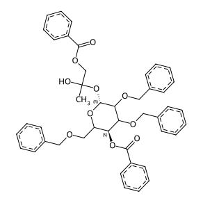 CC(O)(COC(=O)c1ccccc1)O[C@H]1OC(COCc2ccccc2)[C@H](OC(=O)c2ccccc2)C(OCc2ccccc2)C1OCc1ccccc1